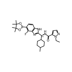 CCn1nccc1C(=O)N[C@H](c1nc2c(F)c(B3OC(C)(C)C(C)(C)O3)ccc2[nH]1)C1CCC(C)CC1